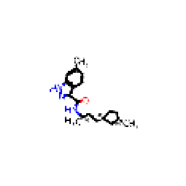 Cc1ccc2c(C(=O)N[C@H](C)CC[C@H]3CC[C@@H](C)C3)n[nH]c2c1